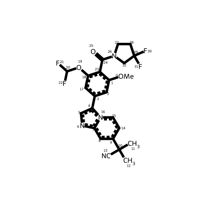 COc1cc(-c2cnc3cc(C(C)(C)C#N)ccn23)cc(OC(F)F)c1C(=O)N1CCC(F)(F)C1